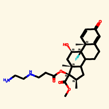 COC(=O)[C@@]1(OC(=O)CCNCCN)[C@H](C)CC2C3CCC4=CC(=O)C=C[C@]4(C)[C@@]3(F)[C@@H](O)C[C@@]21C